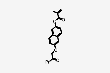 C=C(C)C(=O)Oc1ccc2cc(OCC(=O)C(C)C)ccc2c1